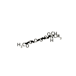 CCC(=O)COCCOCCOCCOCC(=O)NC(C)C